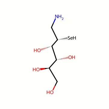 NC[C@H]([SeH])[C@@H](O)[C@H](O)[C@H](O)CO